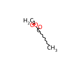 C=CC(=O)OCC(=O)CCCCCCCCCCC